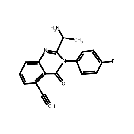 C#Cc1cccc2nc([C@H](C)N)n(-c3ccc(F)cc3)c(=O)c12